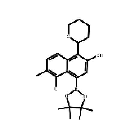 Cc1ccc2c(C3CCCCO3)c(O)cc(B3OC(C)(C)C(C)(C)O3)c2c1Cl